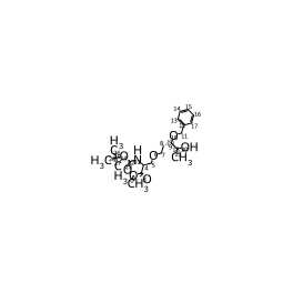 COC(=O)C(COCC[C@H](OCc1ccccc1)C(C)O)NC(=O)OC(C)(C)C